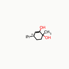 CC(C)[C@H]1C=C(O)C(C)(O)CC1